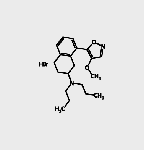 Br.CCCN(CCC)C1CCc2cccc(-c3oncc3OC)c2C1